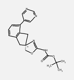 CC(C)(C)OC(=O)NC1=N[C@@]2(CO1)Cc1cccc(-c3cncnc3)c1C2